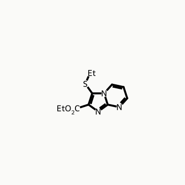 CCOC(=O)c1nc2ncccn2c1SCC